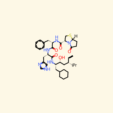 C=C[C@@H](C[C@@H](O)[C@H](CC1CCCCC1)NC(=O)[C@H](Cc1c[nH]cn1)NC(=O)[C@H](Cc1ccccc1)NC(=O)[C@@H]1CS[C@@H]2CCC(=O)N21)C(C)C